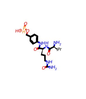 CC(C)[C@H](N)C(=O)N[C@@H](CCCNC(N)=O)C(=O)Nc1ccc(CO[PH](=O)O)cc1